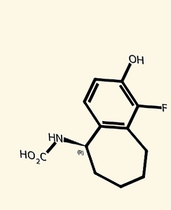 O=C(O)N[C@@H]1CCCCc2c1ccc(O)c2F